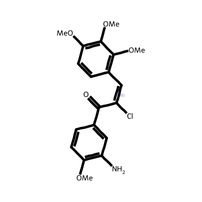 COc1ccc(C(=O)/C(Cl)=C\c2ccc(OC)c(OC)c2OC)cc1N